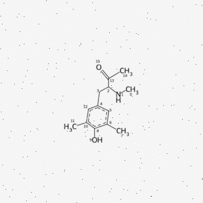 CNC(Cc1cc(C)c(O)c(C)c1)C(C)=O